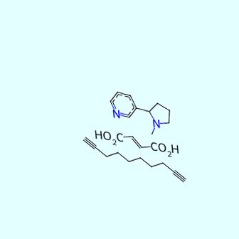 C#CCCCCCCC#C.CN1CCCC1c1cccnc1.O=C(O)C=CC(=O)O